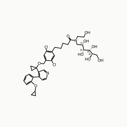 O=C(CCCCc1cc(Cl)c(COC2(c3cnccc3-c3ccccc3OC3CC3)CC2)cc1Cl)N(CCO)C[C@H](O)[C@@H](O)[C@H](O)[C@H](O)CO